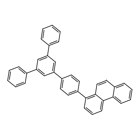 [c]1cc2c(-c3ccc(-c4cc(-c5ccccc5)cc(-c5ccccc5)c4)cc3)cccc2c2ccccc12